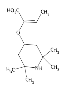 CC=C(OC1CC(C)(C)NC(C)(C)C1)C(=O)O